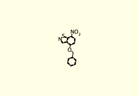 O=[N+]([O-])c1ccc(OCc2ccccc2)c2cnsc12